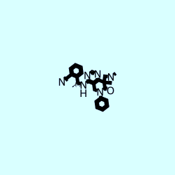 C[C@@H](Nc1ncnc2c1CN(c1ccccc1)C(=O)C21CN(C)C1)c1ccccc1C#N